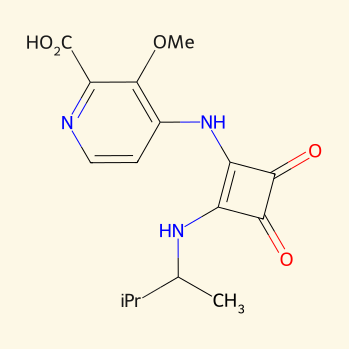 COc1c(Nc2c(NC(C)C(C)C)c(=O)c2=O)ccnc1C(=O)O